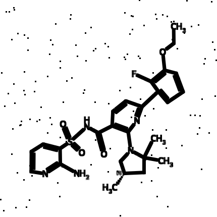 CCOc1cccc(-c2ccc(C(=O)NS(=O)(=O)c3cccnc3N)c(N3C[C@@H](C)CC3(C)C)n2)c1F